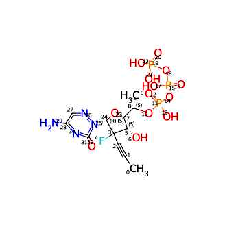 CC#CC1(F)[C@@H](O)[C@@H]([C@H](C)OP(=O)(O)OP(=O)(O)OP(=O)(O)O)O[C@H]1n1ncc(N)nc1=O